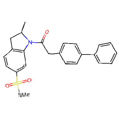 CNS(=O)(=O)c1ccc2c(c1)N(C(=O)Cc1ccc(-c3ccccc3)cc1)C(C)C2